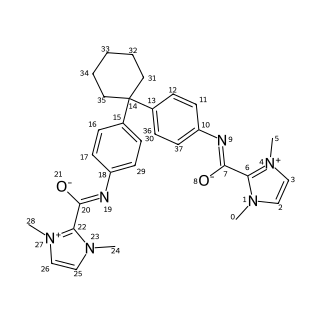 Cn1cc[n+](C)c1/C([O-])=N/c1ccc(C2(c3ccc(/N=C(\[O-])c4n(C)cc[n+]4C)cc3)CCCCC2)cc1